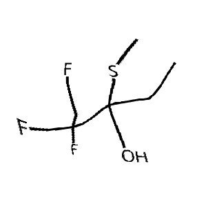 CCC(O)(SC)C(F)(F)F